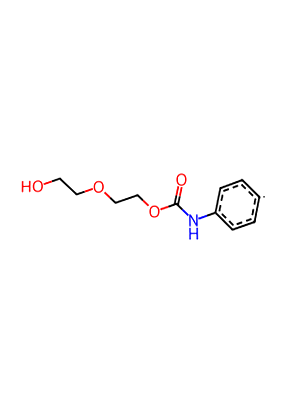 O=C(Nc1cc[c]cc1)OCCOCCO